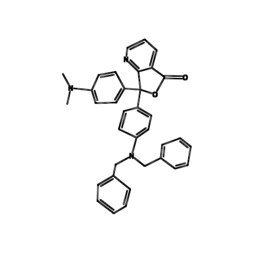 CN(C)c1ccc(C2(c3ccc(N(Cc4ccccc4)Cc4ccccc4)cc3)OC(=O)c3cccnc32)cc1